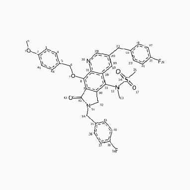 COc1ccc(COc2c3c(c(N(C)S(C)(=O)=O)c4cc(Cc5ccc(F)cc5)cnc24)CN(Cc2ccc(F)cc2)C3=O)cc1